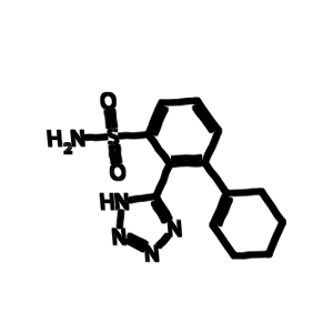 NS(=O)(=O)c1cccc(C2=CCCCC2)c1-c1nnn[nH]1